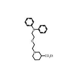 CCOC(=O)C1CCCN(CCOCCN(c2ccccc2)c2ccccc2)C1